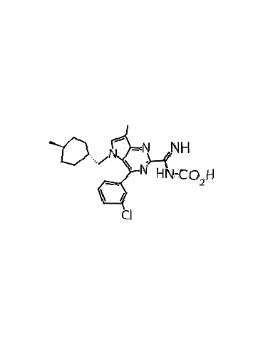 Cc1cn(C[C@H]2CC[C@H](C)CC2)c2c(-c3cccc(Cl)c3)nc(C(=N)NC(=O)O)nc12